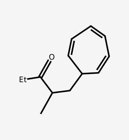 CCC(=O)C(C)CC1C=CC=CC=C1